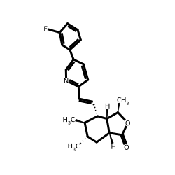 C[C@H]1[C@H](/C=C/c2ccc(-c3cccc(F)c3)cn2)[C@@H]2[C@@H](C)OC(=O)[C@@H]2C[C@@H]1C